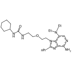 CCCc1nc2c(N)ncc(N(CC)CC)c2n1CCOCCNC(=O)NC1CCCCC1